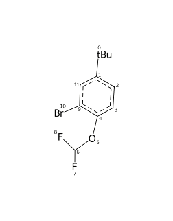 CC(C)(C)c1ccc(OC(F)F)c(Br)c1